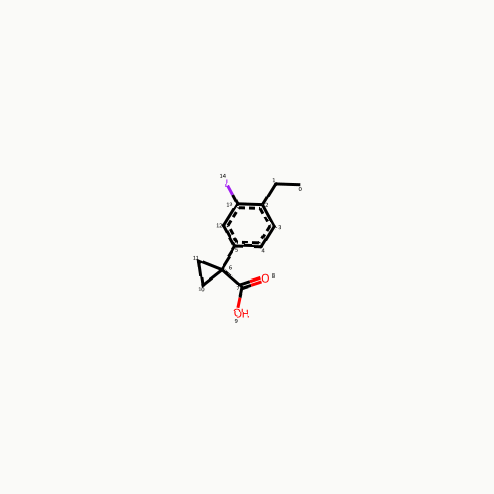 CCc1ccc(C2(C(=O)O)CC2)cc1I